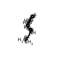 CC(C)=CC(=O)CCCCNc1cc(Oc2ccc(NC(=O)NC(=O)Cc3ccc(F)cc3)cc2F)ccn1